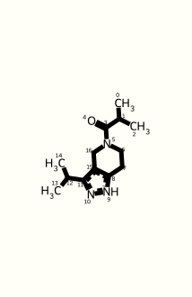 CC(C)C(=O)N1CCc2[nH]nc(C(C)C)c2C1